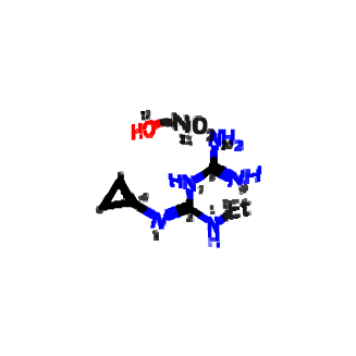 CCN/C(=N/C1CC1)NC(=N)N.O=[N+]([O-])O